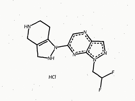 Cl.FC(F)Cn1ncc2ncc(N3NCC4=C3CCNC4)nc21